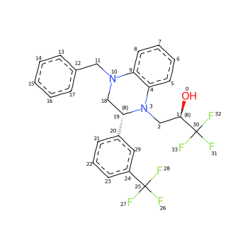 O[C@H](CN1c2ccccc2N(Cc2ccccc2)C[C@H]1c1cccc(C(F)(F)F)c1)C(F)(F)F